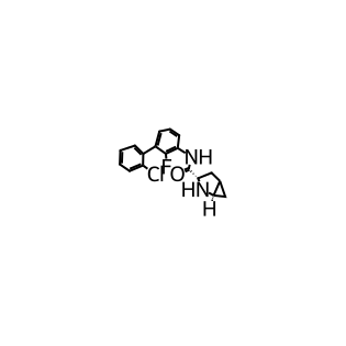 O=C(Nc1cccc(-c2ccccc2Cl)c1F)[C@@H]1CC2C[C@H]2N1